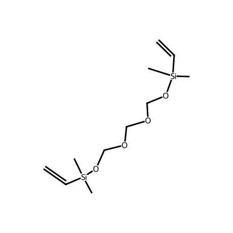 C=C[Si](C)(C)OCOCOCO[Si](C)(C)C=C